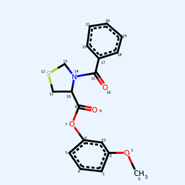 COc1cccc(OC(=O)C2CSCN2C(=O)c2ccccc2)c1